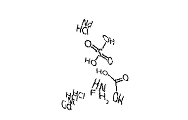 Cl.Cl.Cl.F.N.O=C(O)O.O=S(=O)(O)O.[Gd].[Nd].[Ni]